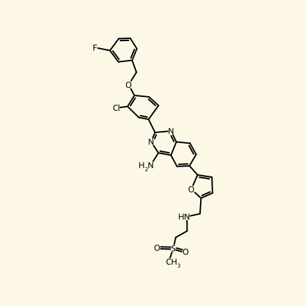 CS(=O)(=O)CCNCc1ccc(-c2ccc3nc(-c4ccc(OCc5cccc(F)c5)c(Cl)c4)nc(N)c3c2)o1